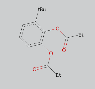 CCC(=O)Oc1cccc(C(C)(C)C)c1OC(=O)CC